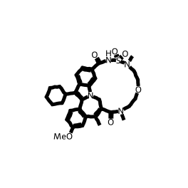 COc1ccc2c(c1)C(C)=C1Cn3c-2c(C2CCCCC2)c2ccc(cc23)C(=O)NS(=O)(=O)N(C)CCOCCN(C)C1=O